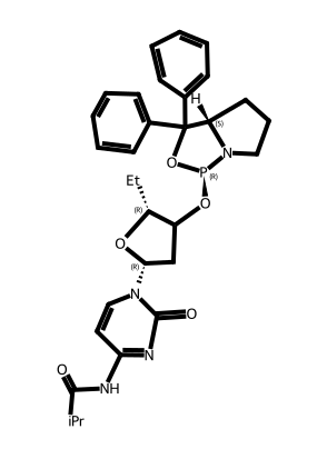 CC[C@H]1O[C@@H](n2ccc(NC(=O)C(C)C)nc2=O)CC1O[P@@]1OC(c2ccccc2)(c2ccccc2)[C@@H]2CCCN21